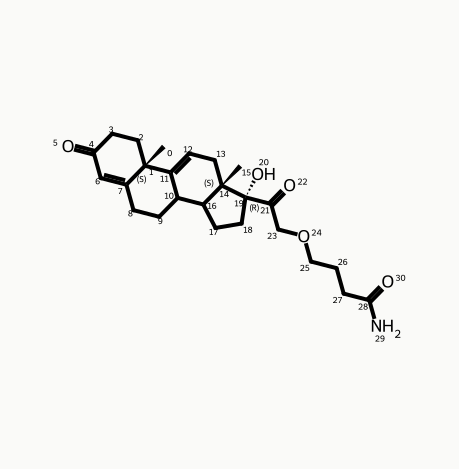 C[C@]12CCC(=O)C=C1CCC1C2=CC[C@@]2(C)C1CC[C@]2(O)C(=O)COCCCC(N)=O